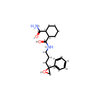 NC(=O)C1CCCCC1C(=O)NCCCC1(c2ccccc2)CO1